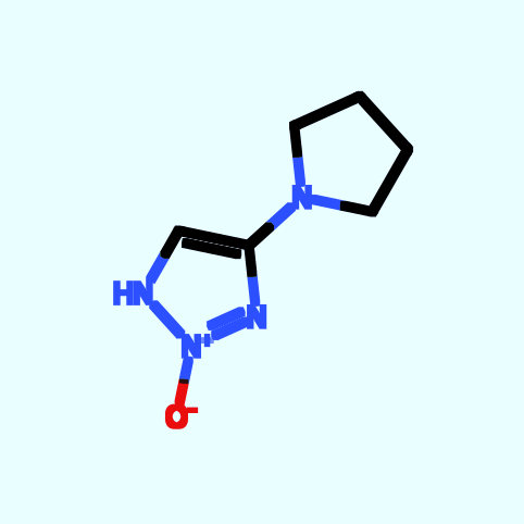 [O-][n+]1nc(N2CCCC2)c[nH]1